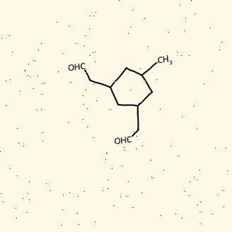 CC1CC(CC=O)CC(CC=O)C1